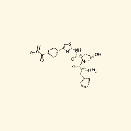 CC(C)NC(=O)c1ccc(-c2csc(NC(=O)[C@@H]3C[C@H](O)CN3C(=O)[C@H](N)Cc3ccccc3)n2)cc1